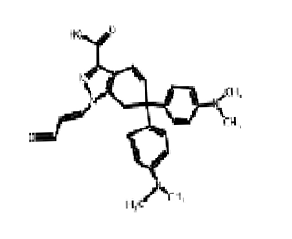 CN(C)c1ccc(C2(c3ccc(N(C)C)cc3)C=Cc3c(C(=O)O)nn(C=CC=O)c3C2)cc1